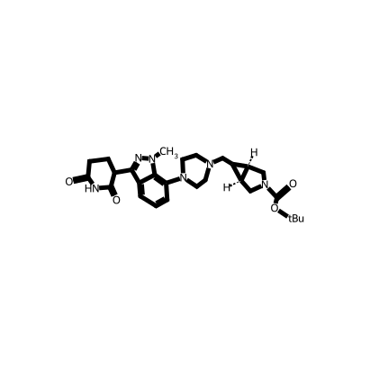 Cn1nc(C2CCC(=O)NC2=O)c2cccc(N3CCN(CC4[C@H]5CN(C(=O)OC(C)(C)C)C[C@@H]45)CC3)c21